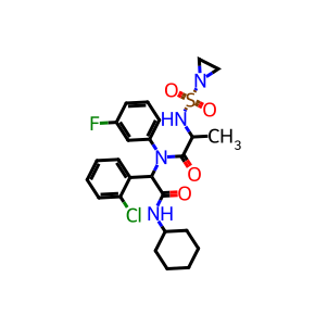 CC(NS(=O)(=O)N1CC1)C(=O)N(c1cccc(F)c1)C(C(=O)NC1CCCCC1)c1ccccc1Cl